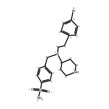 NS(=O)(=O)c1ccc(CN(CCc2ccc(Br)cc2)C2CCNCC2)cc1